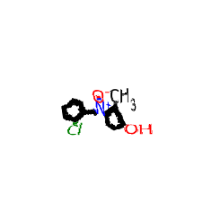 Cc1cc(O)ccc1[N+]([O-])=Cc1ccccc1Cl